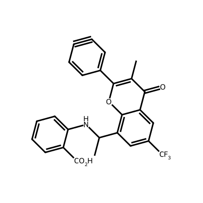 Cc1c(-c2cc#ccc2)oc2c(C(C)Nc3ccccc3C(=O)O)cc(C(F)(F)F)cc2c1=O